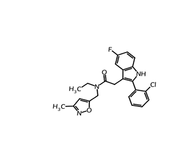 CCN(Cc1cc(C)no1)C(=O)Cc1c(-c2ccccc2Cl)[nH]c2ccc(F)cc12